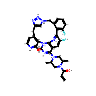 C=CC(=O)N1CC(C)N(c2nc(=O)n3c4nc(c(F)cc24)-c2c(F)cccc2Cn2cc(nn2)Cc2ccnc(C(C)C)c2-3)CC1C